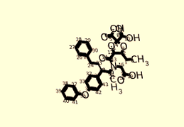 CCC1OC(C(=O)O)(C(=O)O)OC1C(=O)N(CC(=O)O)[C@H](C)[C@H](CCc1ccccc1)c1ccc(Oc2ccccc2)cc1